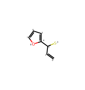 C=CC([S])c1ccco1